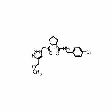 COCc1cn(CC(=O)N2CCC[C@H]2C(=O)NCc2ccc(Cl)cc2)nn1